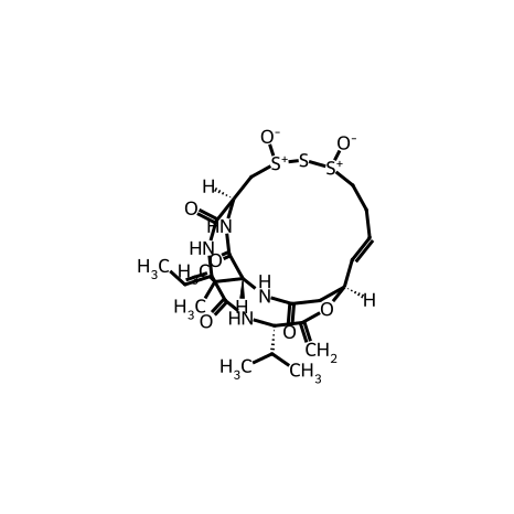 C=C1O[C@@H]2/C=C/CC[S+]([O-])S[S+]([O-])C[C@@H](NC(=O)[C@@H](C(C)C)NC(=O)C2)C(=O)N/C(=C\C)C(=O)N[C@H]1C(C)C